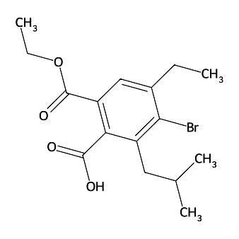 CCOC(=O)c1cc(CC)c(Br)c(CC(C)C)c1C(=O)O